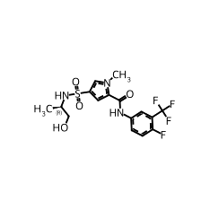 C[C@H](CO)NS(=O)(=O)c1cc(C(=O)Nc2ccc(F)c(C(F)(F)F)c2)n(C)c1